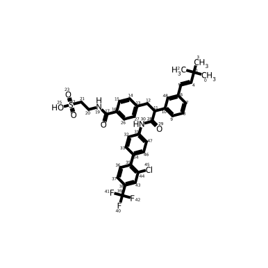 CC(C)(C)/C=C/c1cccc(C(Cc2ccc(C(=O)NCCS(=O)(=O)O)cc2)C(=O)Nc2ccc(-c3ccc(C(F)(F)F)cc3Cl)cc2)c1